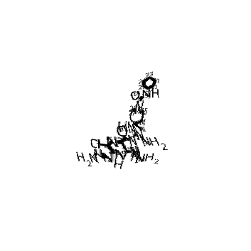 NN=NC1=C(Cl)N=C(C(=O)NC2NC3(CCN(C(=O)Nc4ccccc4)CC3)CN2N)C(N=NN)N1